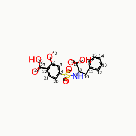 COc1cc(S(=O)(=O)NC(Cc2ccccc2)C(=O)O)ccc1C(=O)O